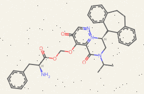 CC(C)N1C[C@H](C2c3ccccc3CCc3ccccc32)n2ncc(=O)c(OCOC(=O)[C@@H](N)Cc3ccccc3)c2C1=O